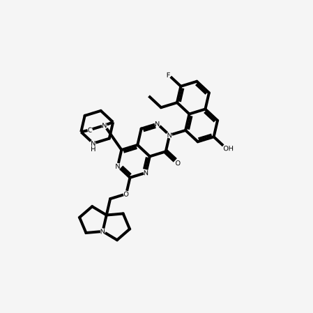 CCc1c(F)ccc2cc(O)cc(-n3ncc4c(N5CC6CCC5CN6)nc(OCC56CCCN5CCC6)nc4c3=O)c12